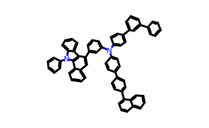 c1ccc(-c2cccc(-c3ccc(N(c4ccc(-c5ccc(-c6cccc7ccccc67)cc5)cc4)c4cccc(-c5cc6ccccc6c6c5c5ccccc5n6-c5ccccc5)c4)cc3)c2)cc1